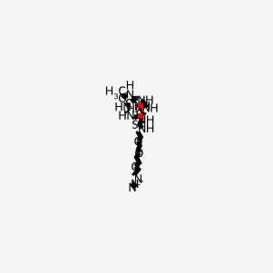 CC(=O)NC12CNCNCC(NC(=S)NCCOCCOCCOCCN=[N+]=[N-])(CNCNC1)CNCNC2